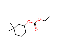 CCOC(=O)OC1CCCC(C)(C)C1